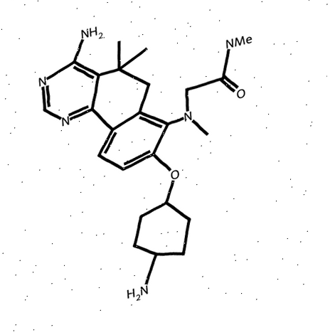 CNC(=O)CN(C)c1c(OC2CCC(N)CC2)ccc2c1CC(C)(C)c1c(N)ncnc1-2